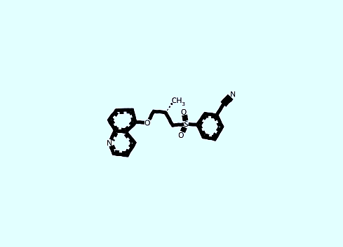 C[C@@H](COc1cccc2ncccc12)CS(=O)(=O)c1cccc(C#N)c1